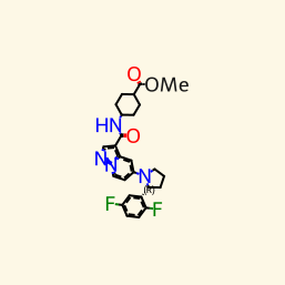 COC(=O)C1CCC(NC(=O)c2cnn3ccc(N4CCC[C@@H]4c4cc(F)ccc4F)cc23)CC1